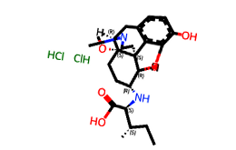 CC[C@H](C)[C@H](N[C@@H]1CC[C@@]2(OC)[C@H]3Cc4ccc(O)c5c4[C@@]2(CCN3C)[C@H]1O5)C(=O)O.Cl.Cl